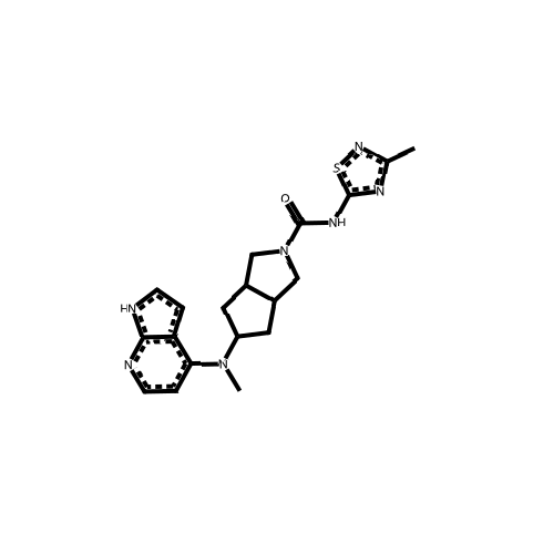 Cc1nsc(NC(=O)N2CC3CC(N(C)c4ccnc5[nH]ccc45)CC3C2)n1